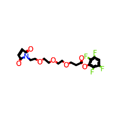 O=C(CCOCCOCCOCCN1C(=O)C=CC1=O)Oc1c(F)c(F)cc(F)c1F